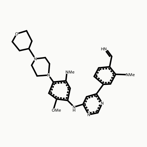 CNc1cc(-c2cc(Nc3cc(NC)c(N4CCN(C5CCOCC5)CC4)cc3OC)ncn2)ccc1C=N